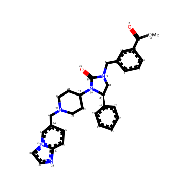 COC(=O)c1cccc(CN2C[C@@H](c3ccccc3)N(C3CCN(Cc4ccc5nccn5c4)CC3)C2=O)c1